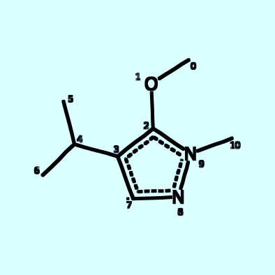 COc1c(C(C)C)[c]nn1C